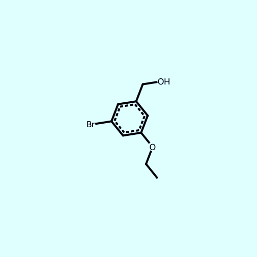 CCOc1cc(Br)cc(CO)c1